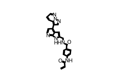 C=CC(=O)Nc1ccc(C(=O)NCc2cc3c(-c4cnn5ncccc45)ccnc3[nH]2)cc1